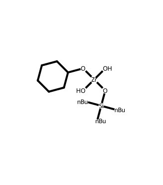 CCCC[Si](CCCC)(CCCC)[O][Zr]([OH])([OH])[O]C1CCCCC1